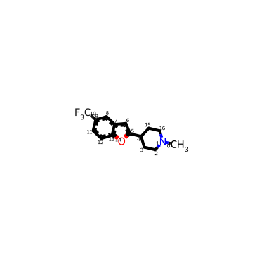 CN1CCC(c2cc3cc(C(F)(F)F)ccc3o2)CC1